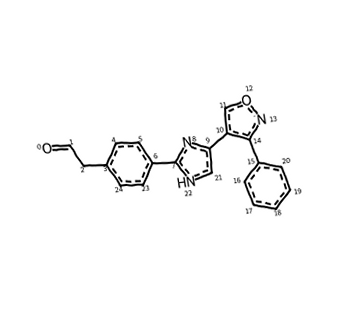 O=CCc1ccc(-c2nc(-c3conc3-c3ccccc3)c[nH]2)cc1